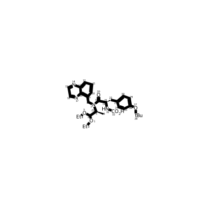 CCOC(OCC)[C@H](C)N(Cc1cccc2nccnc12)C(=O)[C@H](Cc1ccc(OC(C)(C)C)cc1)NC(=O)O